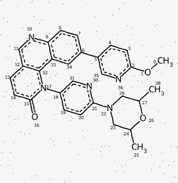 COc1ccc(-c2ccc3ncc4ccc(=O)n(-c5ccc(N6CC(C)OC(C)C6)nc5)c4c3c2)cn1